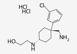 Cl.Cl.NC[C@]1(c2cccc(Cl)c2)CC[C@@H](NCCO)CC1